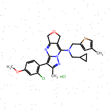 COc1ccc(-c2c(C)nn3c(N(Cc4cc(C)cs4)CC4CC4)c4c(nc23)COC4)c(Cl)c1.Cl